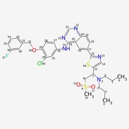 CCCN(CCC)C(CS(C)(=O)=O)c1cnc(-c2ccc3ncnc(Nc4ccc(OCc5cccc(F)c5)c(Cl)c4)c3c2)s1